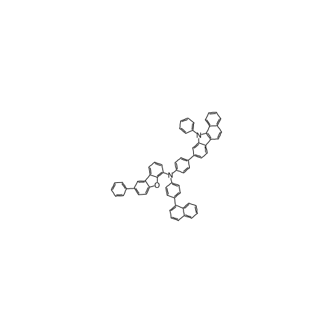 c1ccc(-c2ccc3oc4c(N(c5ccc(-c6ccc7c8ccc9ccccc9c8n(-c8ccccc8)c7c6)cc5)c5ccc(-c6cccc7ccccc67)cc5)cccc4c3c2)cc1